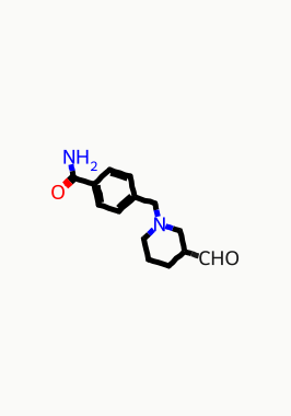 NC(=O)c1ccc(CN2CCCC(C=O)C2)cc1